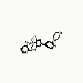 Cc1ncccc1NS(=O)(=O)c1c(Cl)cc(-c2ccnc(N3CCNCC3)c2)cc1Cl